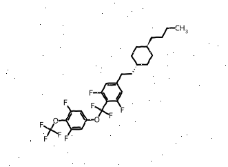 CCCC[C@H]1CC[C@H](CCc2cc(F)c(C(F)(F)Oc3cc(F)c(OC(F)(F)F)c(F)c3)c(F)c2)CC1